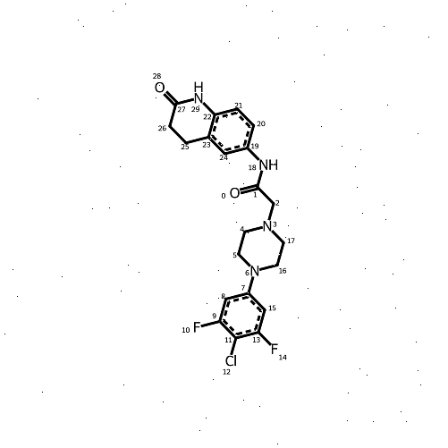 O=C(CN1CCN(c2cc(F)c(Cl)c(F)c2)CC1)Nc1ccc2c(c1)CCC(=O)N2